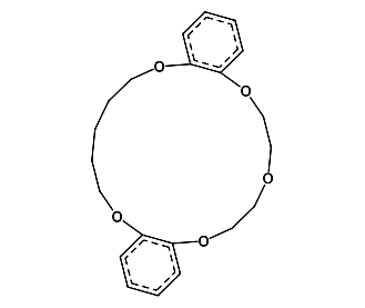 c1ccc2c(c1)OCCCCCOc1ccccc1OCCOCCO2